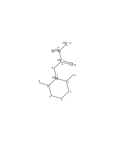 CC1CCCC(C)[15N]1C[13C](=O)[15NH][13CH3]